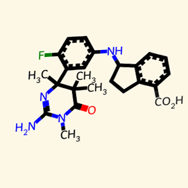 CN1C(=O)C(C)(C)C(C)(c2cc(NC3CCc4c(C(=O)O)cccc43)ccc2F)N=C1N